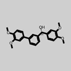 COc1ccc(-c2cccc([C@H](O)c3ccc(OC)c(OC)c3)c2)cc1OC